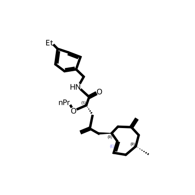 C=C1C[C@H](C)C/C=C/[C@@H](CC(=C)C[C@H](OCCC)C(=O)NCc2ccc(CC)cc2)C1